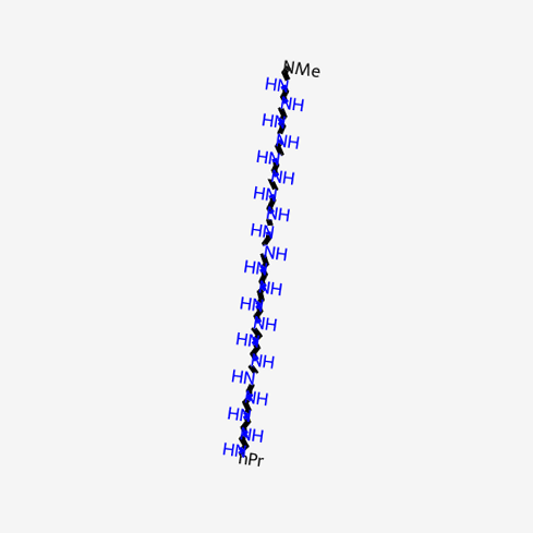 CCCNCCNCCNCCNCCNCCNCCNCCNCCNCCNCCNCCNCCNCCNCCNCCNCCNCCNCCNCCNCCNCCNC